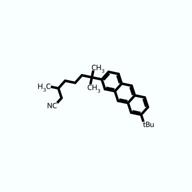 CC(CC#N)CCCC(C)(C)c1ccc2cc3ccc(C(C)(C)C)cc3cc2c1